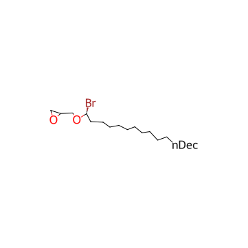 CCCCCCCCCCCCCCCCCCCC[C@H](Br)OCC1CO1